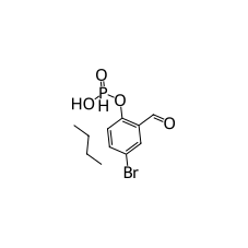 CCCC.O=Cc1cc(Br)ccc1O[PH](=O)O